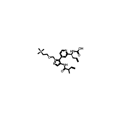 C=CC[C@H](NC(=O)O)c1cc(-c2c(NC(=O)C(C)C=C)cnn2COCC[Si](C)(C)C)ccn1